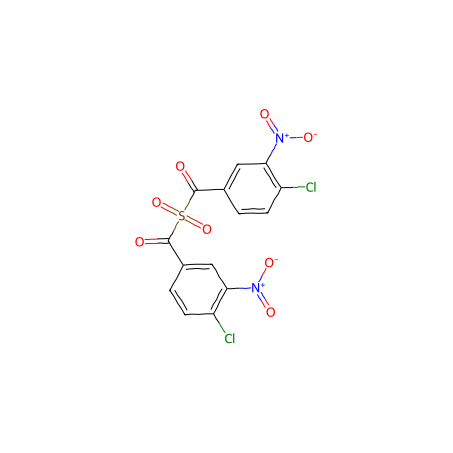 O=C(c1ccc(Cl)c([N+](=O)[O-])c1)S(=O)(=O)C(=O)c1ccc(Cl)c([N+](=O)[O-])c1